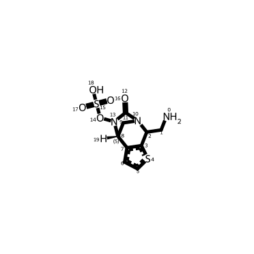 NCC1c2sccc2[C@H]2CN1C(=O)N2OS(=O)(=O)O